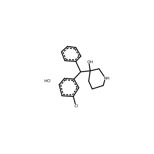 Cl.OC1(C(c2ccccc2)c2cccc(Cl)c2)CCCNC1